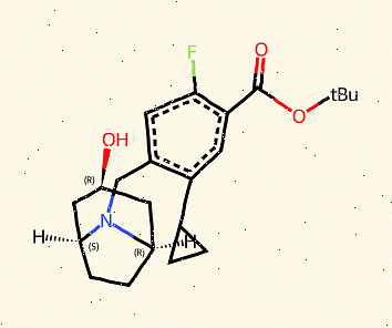 CC(C)(C)OC(=O)c1cc(C2CC2)c(CN2[C@@H]3CC[C@H]2C[C@@H](O)C3)cc1F